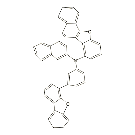 c1cc(-c2cccc3c2oc2ccccc23)cc(N(c2ccc3ccccc3c2)c2cccc3oc4c5ccccc5ccc4c23)c1